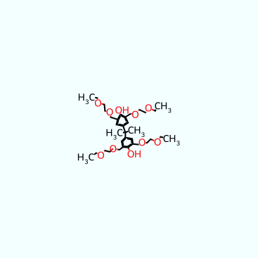 CCOCCOCc1cc(C(C)(C)c2cc(COCCOCC)c(O)c(COCCOCC)c2)cc(COCCOCC)c1O